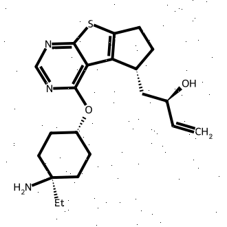 C=C[C@H](O)C[C@H]1CCc2sc3ncnc(O[C@H]4CC[C@@](N)(CC)CC4)c3c21